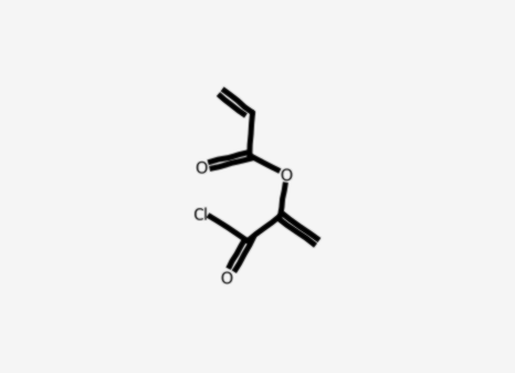 C=CC(=O)OC(=C)C(=O)Cl